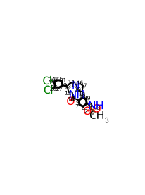 CS(=O)(=O)Nc1ccc(C(=O)NCC(CN2CCCC2)c2ccc(Cl)c(Cl)c2)cc1